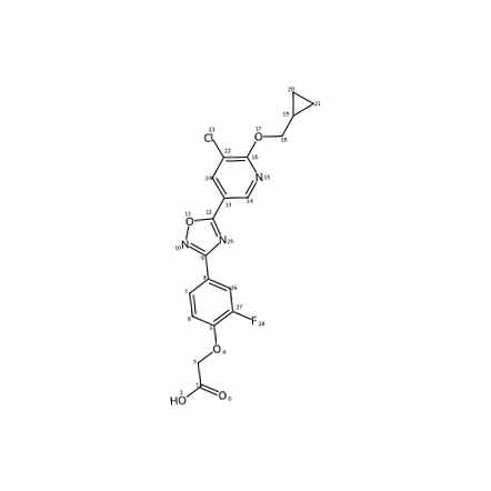 O=C(O)COc1ccc(-c2noc(-c3cnc(OCC4CC4)c(Cl)c3)n2)cc1F